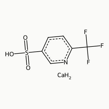 O=S(=O)(O)c1ccc(C(F)(F)F)nc1.[CaH2]